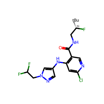 CC(C)(C)[C@H](F)CNC(=O)c1cnc(Cl)cc1Nc1cnn(CC(F)F)c1